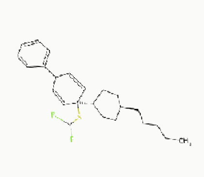 CCCCC[C@H]1CC[C@H](C2(SC(F)F)C=CC(c3ccccc3)C=C2)CC1